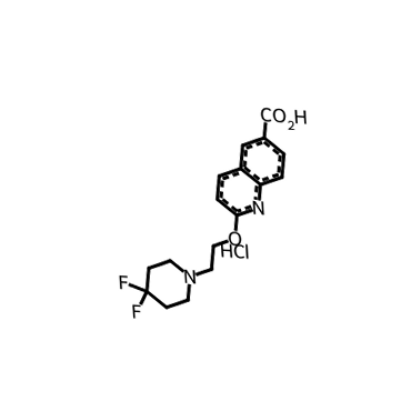 Cl.O=C(O)c1ccc2nc(OCCN3CCC(F)(F)CC3)ccc2c1